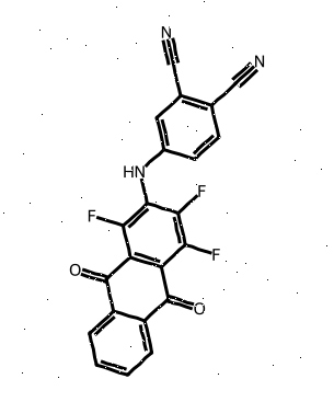 N#Cc1ccc(Nc2c(F)c(F)c3c(c2F)C(=O)c2ccccc2C3=O)cc1C#N